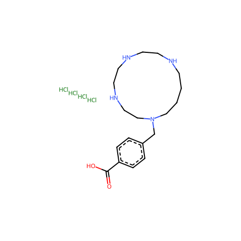 Cl.Cl.Cl.Cl.O=C(O)c1ccc(CN2CCCCNCCNCCNCC2)cc1